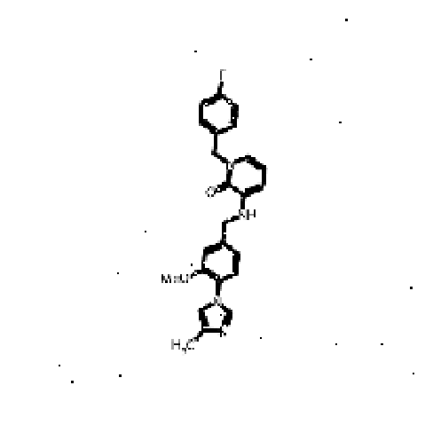 COc1cc(CNc2cccn(Cc3ccc(F)cc3)c2=O)ccc1-n1cnc(C)c1